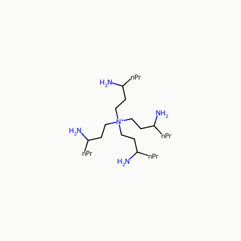 CCCC(N)CC[N+](CCC(N)CCC)(CCC(N)CCC)CCC(N)CCC